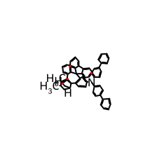 C[C@@H]1C[C@H]2C[C@H]3CC1CC21c2ccc(N(c4ccc(-c5ccccc5)cc4)c4ccc(-c5ccccc5)cc4)cc2C2(c4ccccc4-c4ccccc42)c2ccccc2[C@]31C